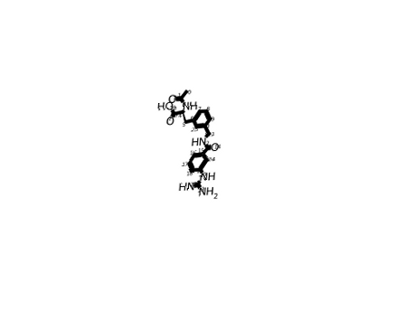 CC(=O)N[C@@H](Cc1cccc(CNC(=O)c2cccc(NC(=N)N)c2)c1)C(=O)O